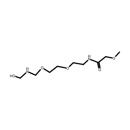 COCC(=O)NCCOCCOCNCO